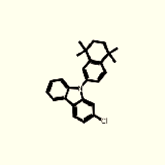 CC1(C)CCC(C)(C)c2cc(-n3c4ccccc4c4ccc(Cl)cc43)ccc21